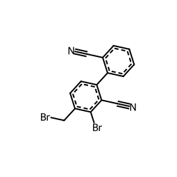 N#Cc1ccccc1-c1ccc(CBr)c(Br)c1C#N